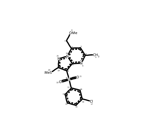 COCc1cc(C)nc2c(S(=O)(=O)c3cccc(Cl)c3)c(SC)nn12